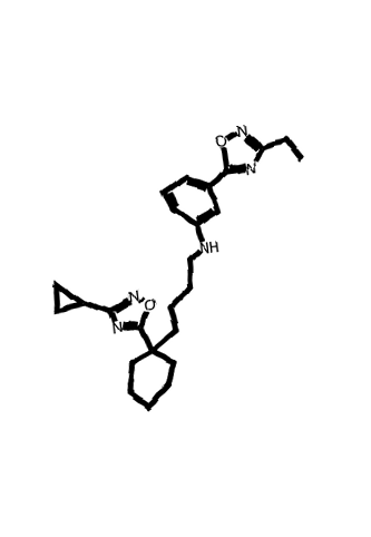 CCc1noc(-c2cccc(NCCCCC3(c4nc(C5CC5)no4)CCCCC3)c2)n1